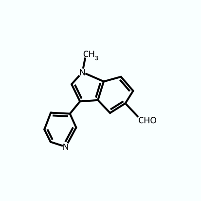 Cn1cc(-c2cccnc2)c2cc(C=O)ccc21